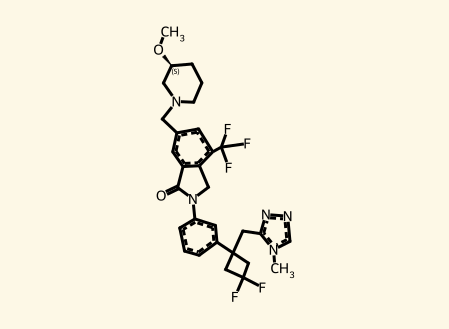 CO[C@H]1CCCN(Cc2cc3c(c(C(F)(F)F)c2)CN(c2cccc(C4(Cc5nncn5C)CC(F)(F)C4)c2)C3=O)C1